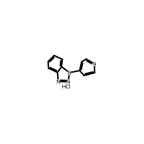 Cl.c1ccc2c(c1)nnn2-c1ccncc1